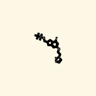 CC(C)(C)[Si](C)(C)OCC1Cc2cc(OCCn3ccnn3)cc(F)c2C1